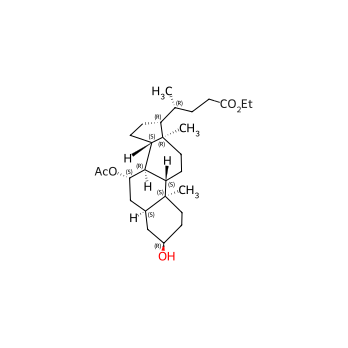 CCOC(=O)CC[C@@H](C)[C@H]1CC[C@H]2[C@@H]3[C@@H](OC(C)=O)C[C@@H]4C[C@H](O)CC[C@]4(C)[C@H]3CC[C@]12C